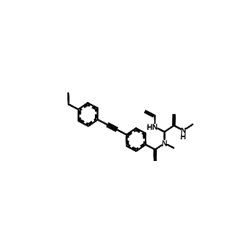 C=CNC(C(=C)NC)N(C)C(=C)c1ccc(C#Cc2ccc(CC)cc2)cc1